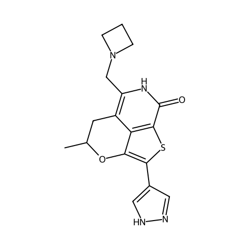 CC1Cc2c(CN3CCC3)[nH]c(=O)c3sc(-c4cn[nH]c4)c(c23)O1